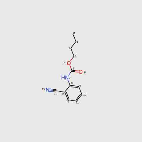 CCCCOC(=O)Nc1ccccc1C#N